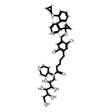 O=C(CCCCc1cc(Cl)c(COC2(c3cnccc3-c3ccccc3OC3CC3)CC2)cc1Cl)N(CC(O)C(O)C(O)C(O)CO)C1CCOCC1